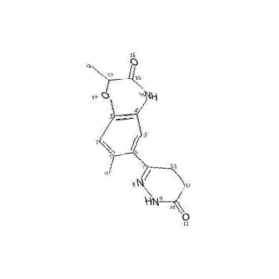 Cc1cc2c(cc1C1=NNC(=O)CC1)NC(=O)C(C)O2